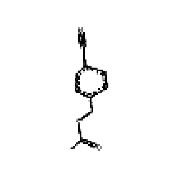 CC(=O)SCc1ccc(C#N)cc1